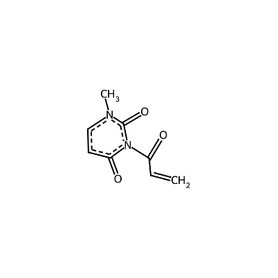 C=CC(=O)n1c(=O)ccn(C)c1=O